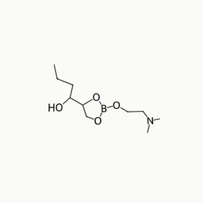 CCCC(O)C1COB(OCCN(C)C)O1